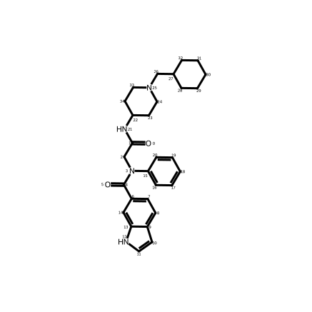 O=C(CN(C(=O)c1ccc2cc[nH]c2c1)c1ccccc1)NC1CCN(CC2CCCCC2)CC1